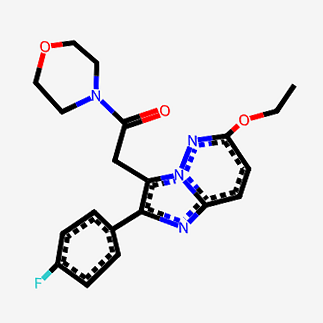 CCOc1ccc2nc(-c3ccc(F)cc3)c(CC(=O)N3CCOCC3)n2n1